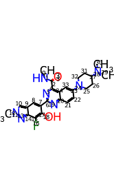 CNC(=O)c1nc(-c2cc3cn(C)nc3c(F)c2O)nc2ccc(N3CCC(N(C)C)CC3)cc12